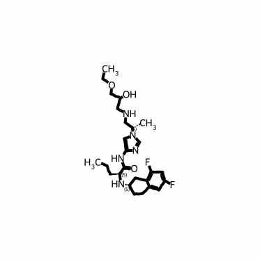 CCC[C@H](N[C@H]1CCc2cc(F)cc(F)c2C1)C(=O)Nc1cn([C@@H](C)CNCC(O)COCC)cn1